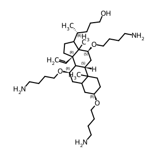 C=C[C@@]12CCC([C@H](C)CCCO)C1(C)[C@@H](OCCCCN)C[C@H]1C2[C@H](OCCCCN)CC2C[C@H](OCCCCN)CCC21C